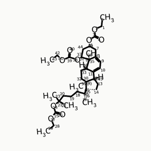 CCOC(=O)O[C@@H]1CC2=CC=C3[C@@H]4CC[C@H]([C@H](C)CCCC(C)(C)OC(=O)OCC)[C@@]4(C)CC[C@@H]3[C@@]2(C)[C@@H](OC(=O)OCC)C1